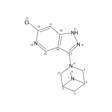 CN1C2CC1CN(c1n[nH]c3cc(Cl)ncc13)C2